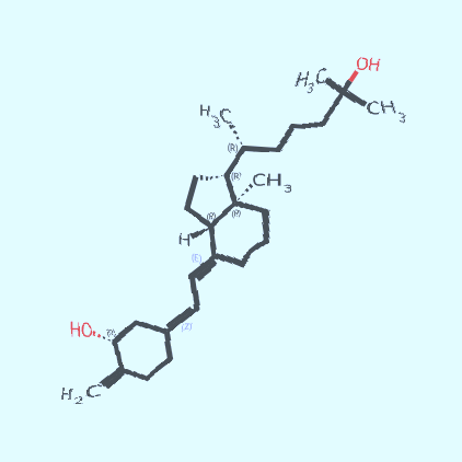 C=C1CC/C(=C/C=C2\CCC[C@]3(C)[C@@H]([C@H](C)CCCC(C)(C)O)CC[C@@H]23)C[C@H]1O